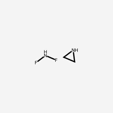 C1CN1.FNF